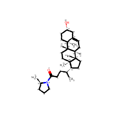 CC(CCC(=O)N1CCC[C@H]1C)[C@H]1CC[C@H]2[C@@H]3CC=C4C[C@@H](O)CC[C@]4(C)[C@H]3CC[C@]12C